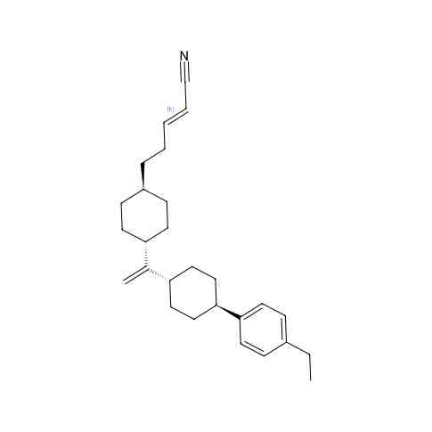 C=C([C@H]1CC[C@H](CC/C=C/C#N)CC1)[C@H]1CC[C@H](c2ccc(CC)cc2)CC1